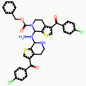 NN(C1NCCc2c(C(=O)c3ccc(Cl)cc3)csc21)C1c2scc(C(=O)c3ccc(Cl)cc3)c2CCN1C(=O)OCc1ccccc1